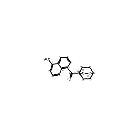 O=C(c1cccc2c(O)cccc12)C12CCC(CC1)CC2